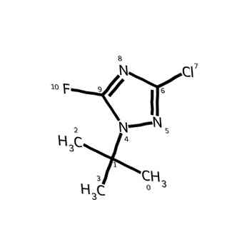 CC(C)(C)n1nc(Cl)nc1F